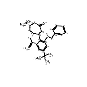 C=C.C=CC[C@@H]1CCCC(=O)C[C@H]1c1ccc(C(C)(C)CCCCCC)cc1OCc1ccccc1